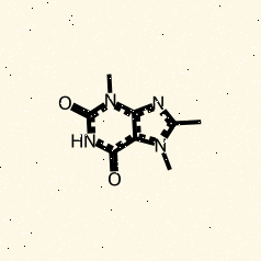 Cc1nc2c(c(=O)[nH]c(=O)n2C)n1C